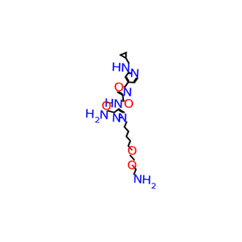 NCCOCCOCCCCCCn1cc(NC(=O)c2coc(-c3ccnc(NCC4CC4)c3)n2)c(C(N)=O)n1